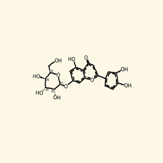 O=c1cc(-c2ccc(O)c(O)c2)oc2cc(O[C@@H]3O[C@H](CO)[C@H](O)[C@@H](O)[C@H]3O)cc(O)c12